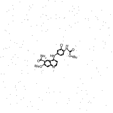 COc1cc2nccc(Nc3ccc(NC(=O)OC(C)(C)C)c(Cl)c3)c2cc1C(N)=O